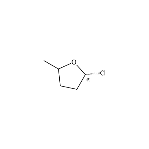 CC1CC[C@@H](Cl)O1